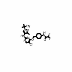 Cc1nn(C(C)(C)C#N)cc1Nc1ncc(Cl)c(OCC2CCC(NC(=O)C(F)F)CC2)n1